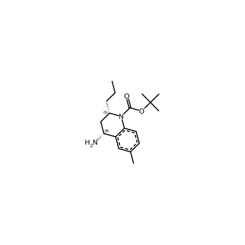 CCC[C@H]1C[C@@H](N)c2cc(C)ccc2N1C(=O)OC(C)(C)C